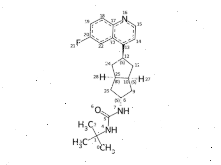 CC(C)(C)NC(=O)N[C@H]1C[C@@H]2C[C@H](c3ccnc4ccc(F)cc34)C[C@@H]2C1